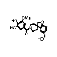 COc1cc(C(=O)N2CCC3(CC2)COc2ccc(CO)cc23)cc(O)c1O